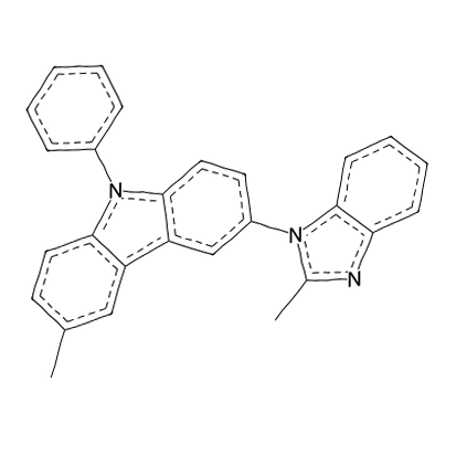 Cc1ccc2c(c1)c1cc(-n3c(C)nc4ccccc43)ccc1n2-c1ccccc1